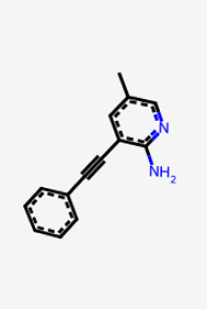 Cc1cnc(N)c(C#Cc2ccccc2)c1